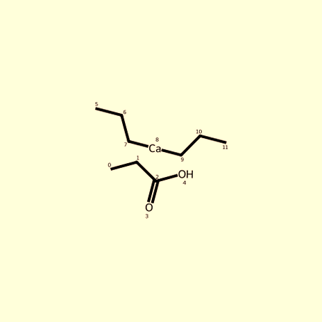 CCC(=O)O.CC[CH2][Ca][CH2]CC